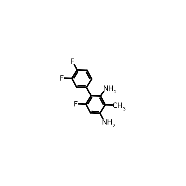 Cc1c(N)cc(F)c(-c2ccc(F)c(F)c2)c1N